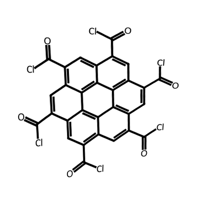 O=C(Cl)c1cc2c(C(=O)Cl)cc3c(C(=O)Cl)cc4c(C(=O)Cl)cc5c(C(=O)Cl)cc6c(C(=O)Cl)cc1c1c2c3c4c5c61